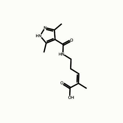 CC(=CCCNC(=O)c1c(C)n[nH]c1C)C(=O)O